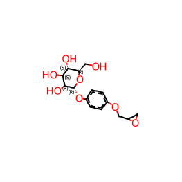 OC[C@H]1O[C@H](Oc2ccc(OCC3CO3)cc2)[C@H](O)[C@@H](O)[C@@H]1O